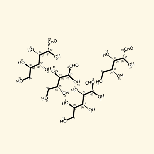 O=C[C@@H](O)[C@@H](O)[C@H](O)[C@H](O)CO.O=C[C@@H](O)[C@H](O)[C@H](O)CO.O=C[C@H](O)[C@@H](O)[C@H](O)CO.O=C[C@H](O)[C@@H](O)[C@H](O)[C@H](O)CO